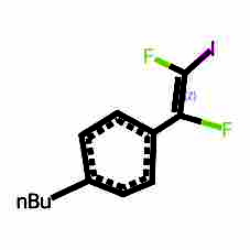 CCCCc1ccc(/C(F)=C(\F)I)cc1